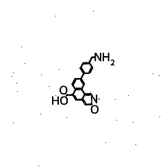 NCc1ccc(-c2ccc3c(C(=O)O)cc4c(c3c2)=C[N]C(=O)C=4)cc1